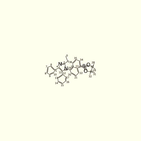 CCc1nc(-c2ccccc2)c(-c2ccccc2)n1-c1cccc2c(B3OC(C)(C)C(C)(C)O3)cccc12